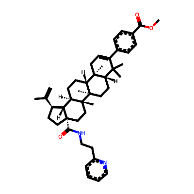 C=C(C)[C@@H]1CC[C@]2(C(=O)NCCc3ccccn3)CC[C@]3(C)[C@H](CC[C@@H]4[C@@]5(C)CC=C(c6ccc(C(=O)OC)cc6)C(C)(C)[C@@H]5CC[C@]43C)[C@@H]12